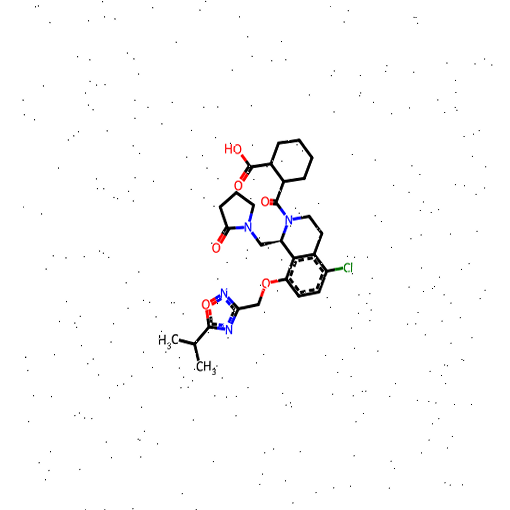 CC(C)c1nc(COc2ccc(Cl)c3c2[C@@H](CN2CCCC2=O)N(C(=O)C2CCCCC2C(=O)O)CC3)no1